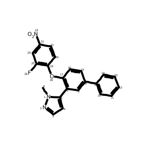 Cn1nccc1-c1cc(-c2ccccc2)ccc1Oc1ccc([N+](=O)[O-])cc1F